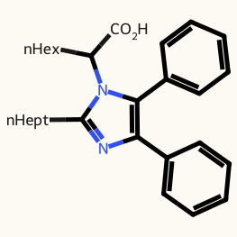 CCCCCCCc1nc(-c2ccccc2)c(-c2ccccc2)n1C(CCCCCC)C(=O)O